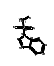 CNS(=O)(=O)n1cnc2ccccc21